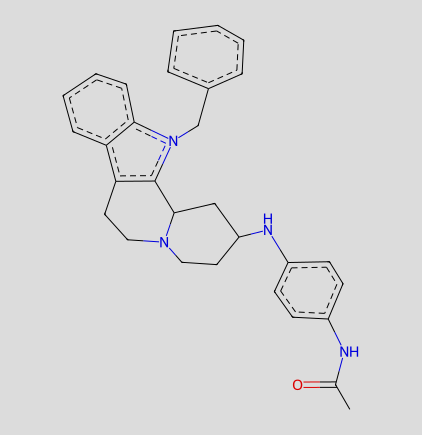 CC(=O)Nc1ccc(NC2CCN3CCc4c(n(Cc5ccccc5)c5ccccc45)C3C2)cc1